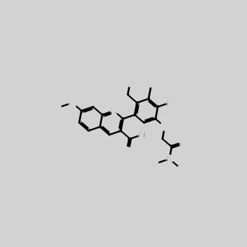 COc1ccc2cc(C(N)=O)c(-c3cc(OCC(=O)N(C)C)c(N)c(C)c3CO)nc2c1